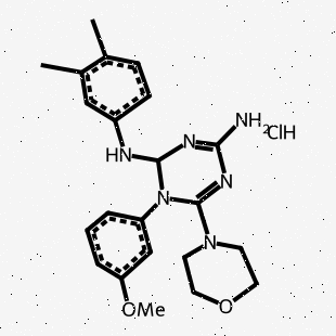 COc1cccc(N2C(N3CCOCC3)=NC(N)=NC2Nc2ccc(C)c(C)c2)c1.Cl